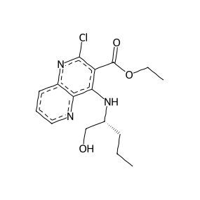 CCC[C@H](CO)Nc1c(C(=O)OCC)c(Cl)nc2cccnc12